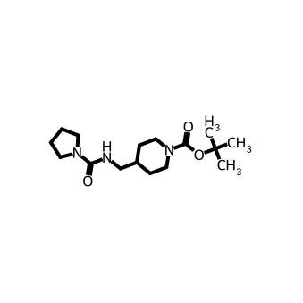 CC(C)(C)OC(=O)N1CCC(CNC(=O)N2CCCC2)CC1